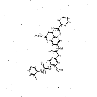 COC(=O)CC(NC(=O)C1CCOCC1)c1ccc(NC(=O)Cc2ccc(NC(=O)Nc3ccccc3C)c(OC)c2)cc1